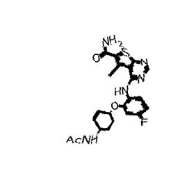 CC(=O)N[C@H]1CC[C@H](Oc2cc(F)ccc2Nc2ncnc3sc(C(N)=O)c(C)c23)CC1